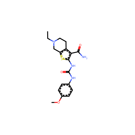 CCN1CCc2c(sc(NC(=O)Nc3ccc(OC)cc3)c2C(N)=O)C1